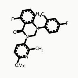 COc1ccc(N2CN(c3ccc(F)cc3C)c3cccc(F)c3C2=O)c(C)n1